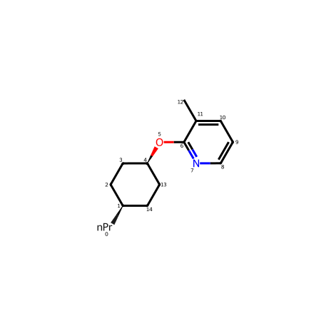 CCC[C@H]1CC[C@@H](Oc2ncccc2C)CC1